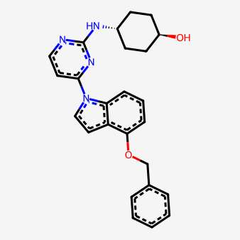 O[C@H]1CC[C@H](Nc2nccc(-n3ccc4c(OCc5ccccc5)cccc43)n2)CC1